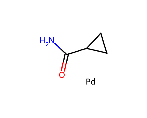 NC(=O)C1CC1.[Pd]